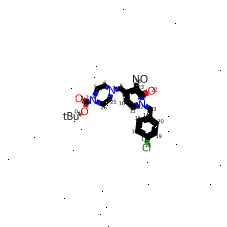 CC(C)(C)OC(=O)N1CCN(Cc2ccn(Cc3ccc(Cl)cc3)c(=O)c2N=O)CC1